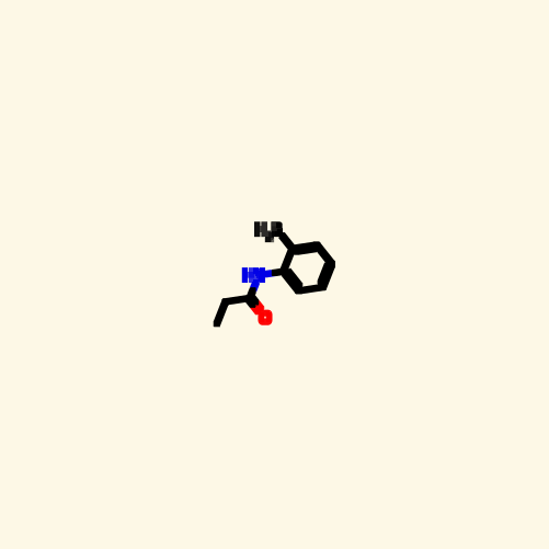 Bc1ccccc1NC(=O)CC